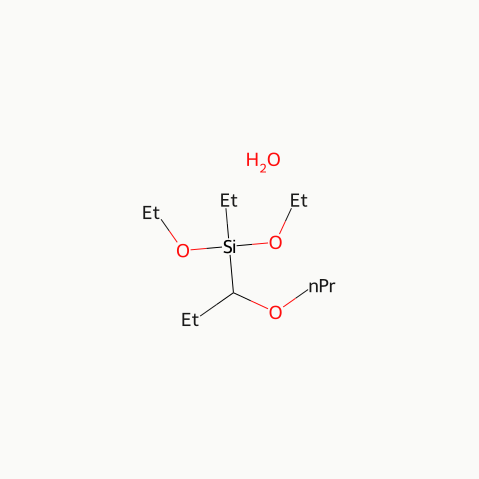 CCCOC(CC)[Si](CC)(OCC)OCC.O